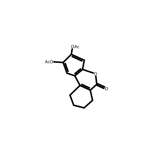 CC(=O)Oc1cc2oc(=O)c3c(c2cc1OC(C)=O)CCCC3